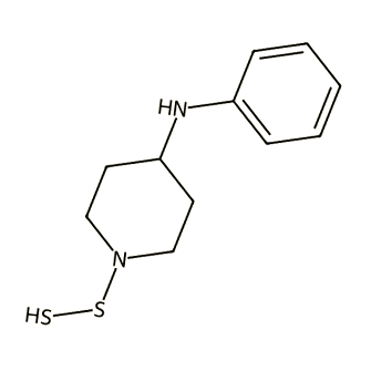 SSN1CCC(Nc2ccccc2)CC1